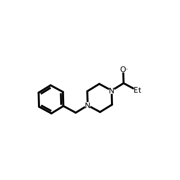 CCC([O])N1CCN(Cc2ccccc2)CC1